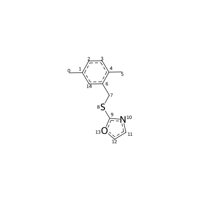 Cc1ccc(C)c(CSc2ncco2)c1